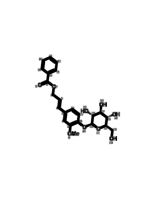 COc1cc(/C=C/COC(=O)c2ccccc2)ccc1O[C@@H]1O[C@H](CO)[C@@H](O)[C@H](O)[C@H]1O